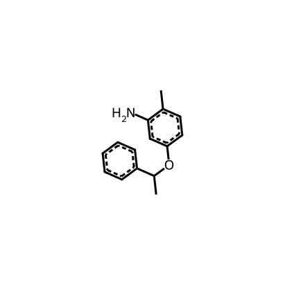 Cc1ccc(OC(C)c2ccccc2)cc1N